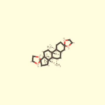 C[C@H]1CC2CC3(CC[C@]2(C)[C@H]2CC[C@@]4(C)[C@@H](CCC45OCCO5)[C@H]12)OCCO3